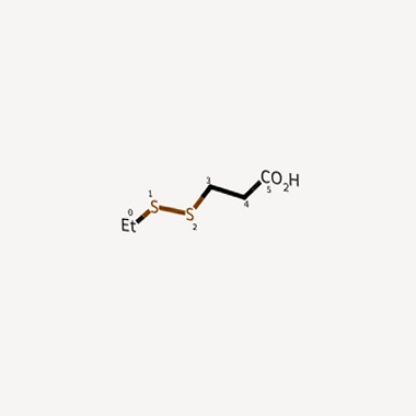 CCSSCCC(=O)O